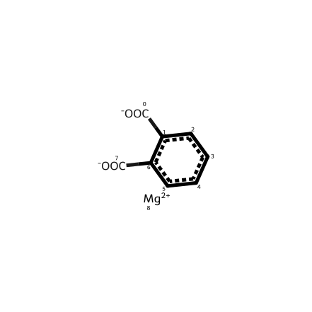 O=C([O-])c1ccccc1C(=O)[O-].[Mg+2]